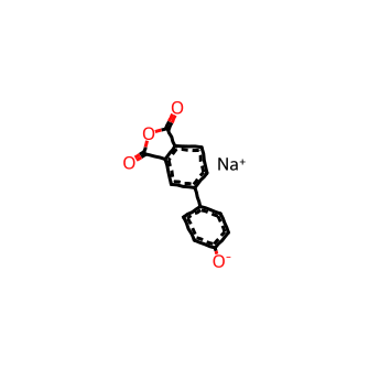 O=C1OC(=O)c2cc(-c3ccc([O-])cc3)ccc21.[Na+]